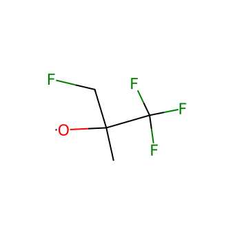 CC([O])(CF)C(F)(F)F